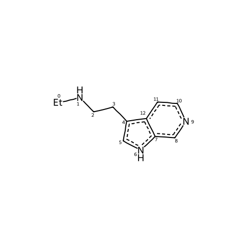 CCNCCc1c[nH]c2cnccc12